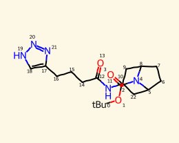 CC(C)(C)OC(=O)N1C2CCC1CC(NC(=O)CCCc1c[nH]nn1)C2